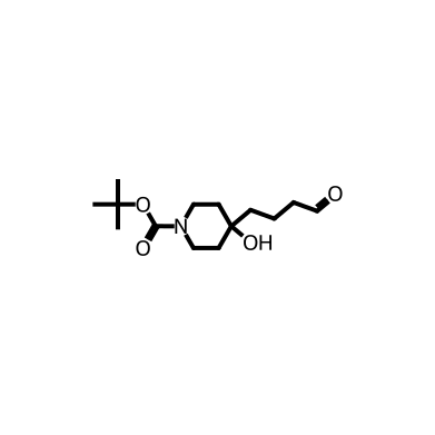 CC(C)(C)OC(=O)N1CCC(O)(CCCC=O)CC1